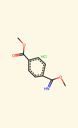 COC(=N)c1ccc(C(=O)OC)cc1.Cl